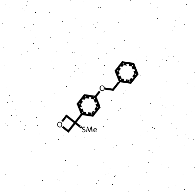 CSC1(c2ccc(OCc3ccccc3)cc2)COC1